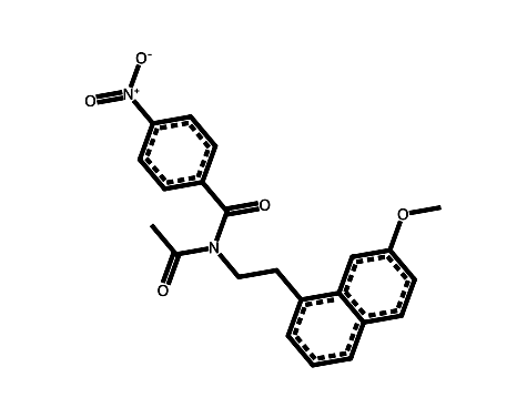 COc1ccc2cccc(CCN(C(C)=O)C(=O)c3ccc([N+](=O)[O-])cc3)c2c1